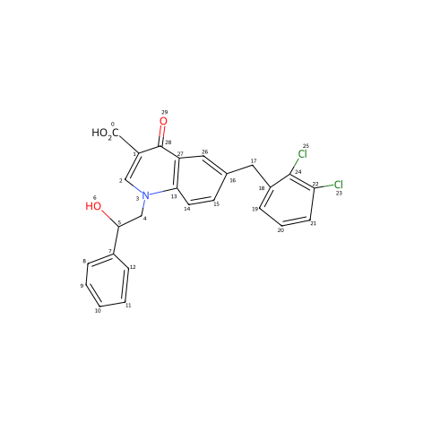 O=C(O)c1cn(CC(O)c2ccccc2)c2ccc(Cc3cccc(Cl)c3Cl)cc2c1=O